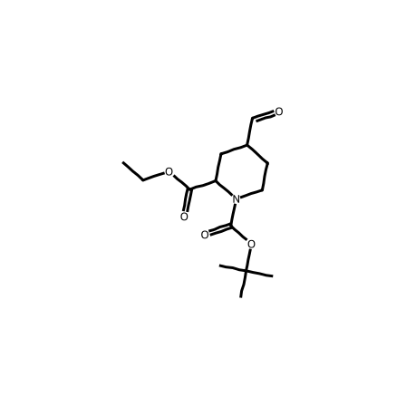 CCOC(=O)C1CC(C=O)CCN1C(=O)OC(C)(C)C